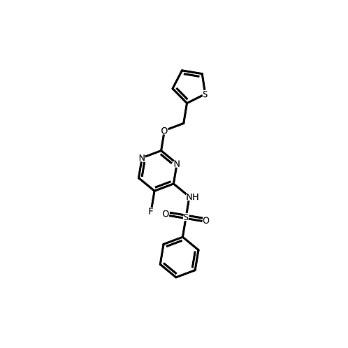 O=S(=O)(Nc1nc(OCc2cccs2)ncc1F)c1ccccc1